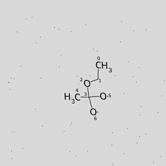 CCOC(C)([O])[O]